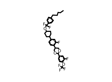 CCCCCc1ccc(C(F)(F)OC2CCC(c3ccc(C4COC(c5ccc(OC(F)(F)F)c(F)c5)OC4)c(F)c3)CC2)cc1